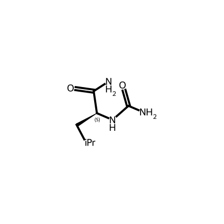 CC(C)C[C@H](NC(N)=O)C(N)=O